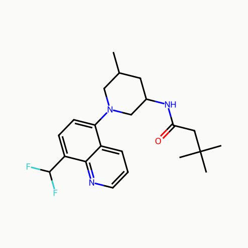 CC1CC(NC(=O)CC(C)(C)C)CN(c2ccc(C(F)F)c3ncccc23)C1